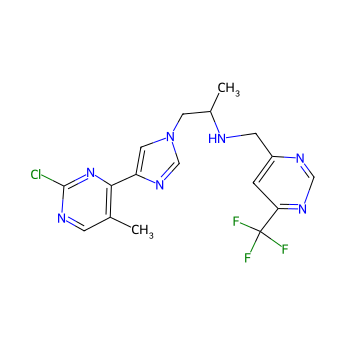 Cc1cnc(Cl)nc1-c1cn(CC(C)NCc2cc(C(F)(F)F)ncn2)cn1